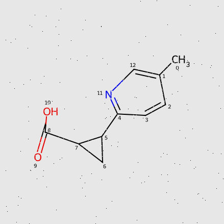 Cc1ccc(C2CC2C(=O)O)nc1